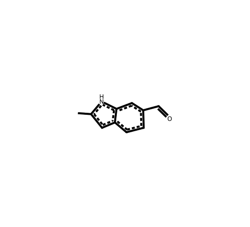 Cc1cc2ccc(C=O)cc2[nH]1